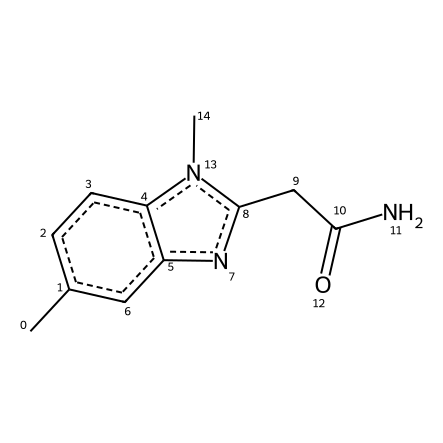 Cc1ccc2c(c1)nc(CC(N)=O)n2C